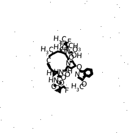 COc1cnc(O[C@@H]2C[C@H]3C(=O)N[C@]4(C(=O)NS(=O)(=O)C5(CF)CC5)C[C@H]4C=CCC[C@@H](C)C[C@@H](C)[C@H](N(C(=O)O)C(C)(C)C(C)(F)F)C(=O)N3C2)c2ccccc12